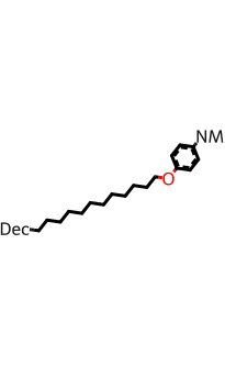 CCCCCCCCCCCCCCCCCCCCCCOc1ccc(NC)cc1